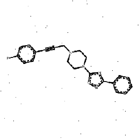 Fc1ccc(C#CCN2CCN(c3nc(-c4ccccc4)ns3)CC2)cc1